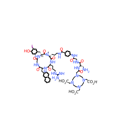 CN1C(=O)[C@@H](Cc2ccc(O)c(I)c2)NC(=O)CNC(=O)[C@H](Cc2ccc3ccccc3c2)NC(=O)[C@H](CCCNC(=N)N)NC(=O)[C@H]1CCCNC(=O)c1ccc(NC(=O)CNC(=O)[C@H](CN)NC(=O)CN2CCN(CC(=O)O)CCN(CC(=O)O)CCN(CC(=O)O)CC2)cc1